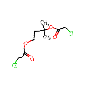 CC(C)(CCOC(=O)CCl)OC(=O)CCl